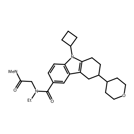 CCN(CC(=O)NC)C(=O)c1ccc2c(c1)c1c(n2C2CCC2)CCC(C2CCOCC2)C1